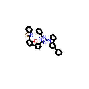 c1ccc(-c2ccc3c(c2)c2ccccc2n3-c2nc(-c3ccccc3)nc(-c3cccc4c3oc3c(-c5nc6ccccc6s5)cccc34)n2)cc1